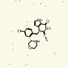 O=C1NC(=C=S)N(Cc2ccc(Cl)cc2[C@H]2COCCN2)c2cc[nH]c21